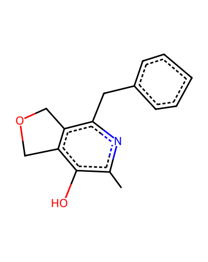 Cc1nc(Cc2ccccc2)c2c(c1O)COC2